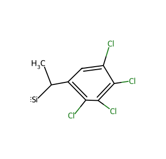 CC([Si])c1cc(Cl)c(Cl)c(Cl)c1Cl